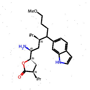 COCCCC(c1ccc2cc[nH]c2c1)[C@@H](C[C@H](N)[C@@H]1C[C@@H](C(C)C)C(=O)O1)C(C)C